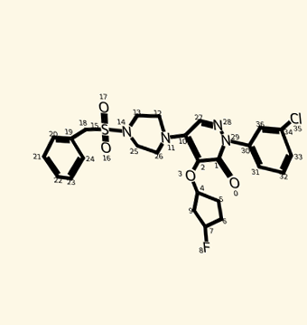 O=c1c(OC2CCC(F)C2)c(N2CCN(S(=O)(=O)Cc3ccccc3)CC2)cnn1-c1cccc(Cl)c1